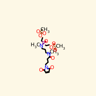 CN(CCCN(C)P(=O)(CCOS(C)(=O)=O)CCOS(C)(=O)=O)C(=O)CCCN1C(=O)C=CC1=O